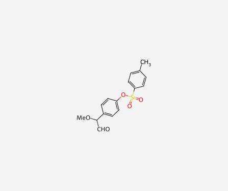 COC(C=O)c1ccc(OS(=O)(=O)c2ccc(C)cc2)cc1